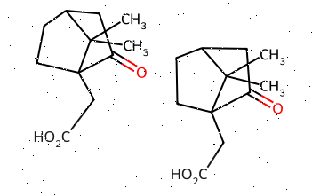 CC1(C)C2CCC1(CC(=O)O)C(=O)C2.CC1(C)C2CCC1(CC(=O)O)C(=O)C2